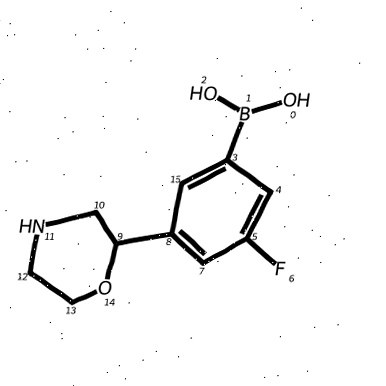 OB(O)c1cc(F)cc(C2CNCCO2)c1